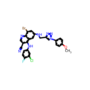 COc1ccc(-n2cc(CNc3cc(Br)c4ncc(C#N)c(Nc5ccc(F)c(Cl)c5)c4c3)nn2)cc1